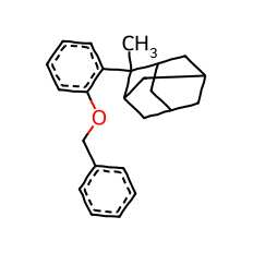 CC1(c2ccccc2OCc2ccccc2)C2CC3CC(C2)CC1C3